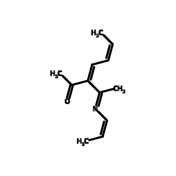 C\C=C/C=C(C(C)=O)\C(C)=N\C=C/C